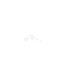 Cc1nc(C)c(-c2cc3c(c(OCCO)n2)C(=O)N([C@@H](C)C2CC2)C3)s1